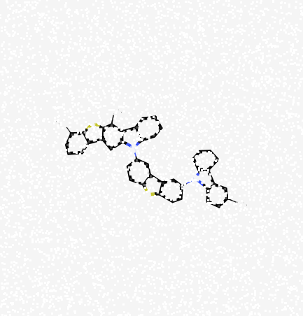 N#Cc1ccc2c(c1)c1ccccc1n2-c1ccc2sc3ccc(-n4c5ccccc5c5c(C#N)c6sc7c(C#N)cccc7c6cc54)cc3c2c1